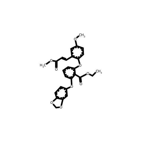 CCOC(=O)c1c(Oc2ccc3c(c2)OCO3)cccc1Oc1ccc(OC)cc1/C=C/C(=O)OC